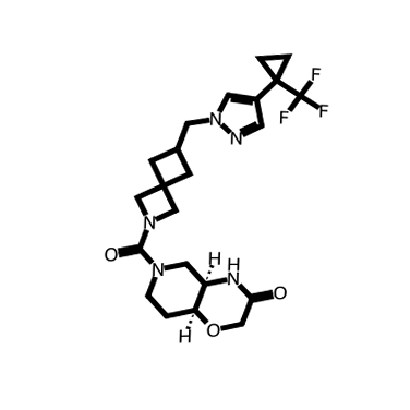 O=C1CO[C@H]2CCN(C(=O)N3CC4(CC(Cn5cc(C6(C(F)(F)F)CC6)cn5)C4)C3)C[C@H]2N1